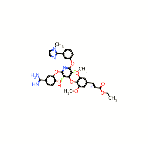 CCOC(=O)/C=C/c1cc(OC)c(Oc2c(F)c(Oc3cccc(-c4nccn4C)c3)nc(Oc3cc(C(=N)N)ccc3O)c2F)c(OC)c1